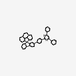 c1ccc(-c2cc(-c3ccccc3)nc(-c3ccc(-c4ccc5c(c4)C4(c6ccccc6-5)c5cccc6ccc7cccc4c7c56)cc3)n2)cc1